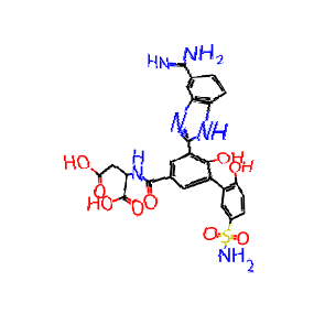 N=C(N)c1ccc2[nH]c(-c3cc(C(=O)NC(CC(=O)O)C(=O)O)cc(-c4cc(S(N)(=O)=O)ccc4O)c3O)nc2c1